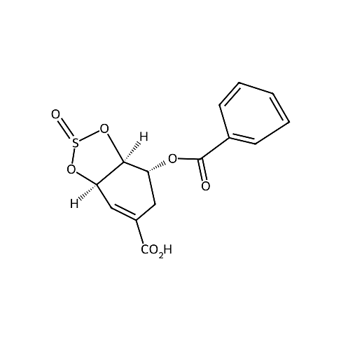 O=C(O)C1=C[C@H]2OS(=O)O[C@H]2[C@H](OC(=O)c2ccccc2)C1